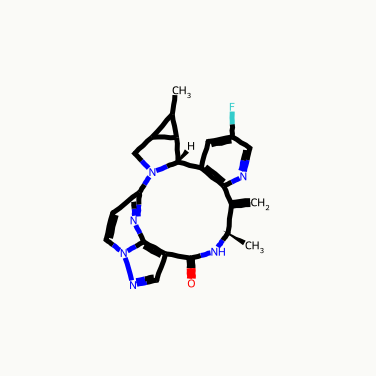 C=C1c2ncc(F)cc2[C@H]2C3C(C)C3CN2c2ccn3ncc(c3n2)C(=O)N[C@@H]1C